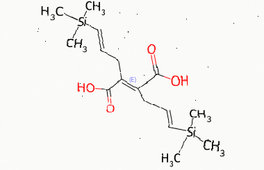 C[Si](C)(C)C=CC/C(C(=O)O)=C(/CC=C[Si](C)(C)C)C(=O)O